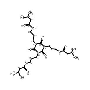 CC(S)CC(=O)OCCCn1c(=O)n(CCCOC(=O)CC(C)S)c(=O)n(CCCOC(=O)CC(C)S)c1=O